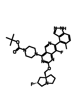 Cc1ccc2[nH]ncc2c1-c1ncc2c(N3CCN(C(=O)OC(C)(C)C)CC3)nc(OC[C@@]34CCCN3C[C@H](F)C4)nc2c1F